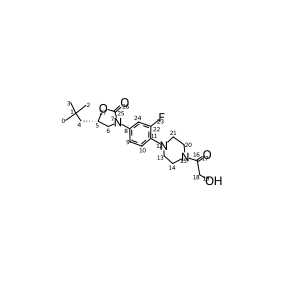 CC(C)(C)C[C@H]1CN(c2ccc(N3CCN(C(=O)CO)CC3)c(F)c2)C(=O)O1